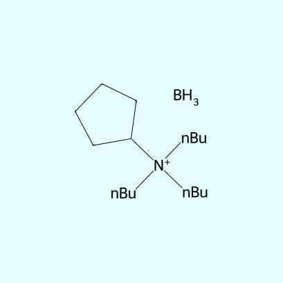 B.CCCC[N+](CCCC)(CCCC)C1CCCC1